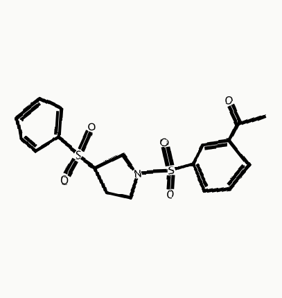 CC(=O)c1cccc(S(=O)(=O)N2CCC(S(=O)(=O)c3ccccc3)C2)c1